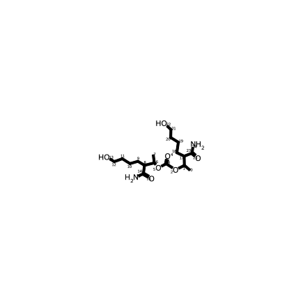 CC(OC(=O)OC(C)C(CCCCO)C(N)=O)C(CCCCO)C(N)=O